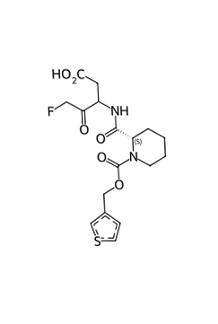 O=C(O)CC(NC(=O)[C@@H]1CCCCN1C(=O)OCc1ccsc1)C(=O)CF